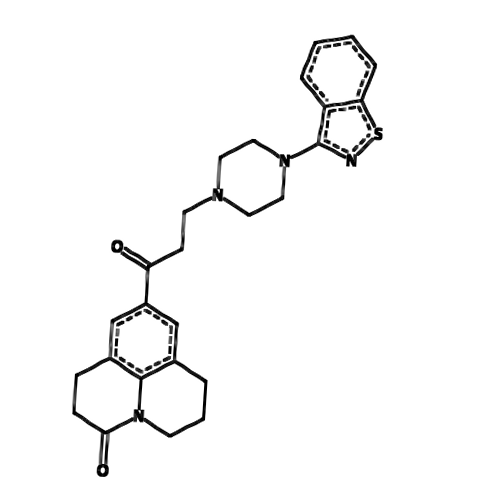 O=C(CCN1CCN(c2nsc3ccccc23)CC1)c1cc2c3c(c1)CCC(=O)N3CCC2